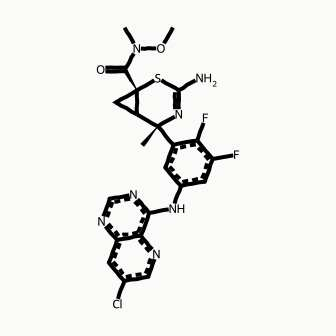 CON(C)C(=O)[C@]12CC1[C@@](C)(c1cc(Nc3ncnc4cc(Cl)cnc34)cc(F)c1F)N=C(N)S2